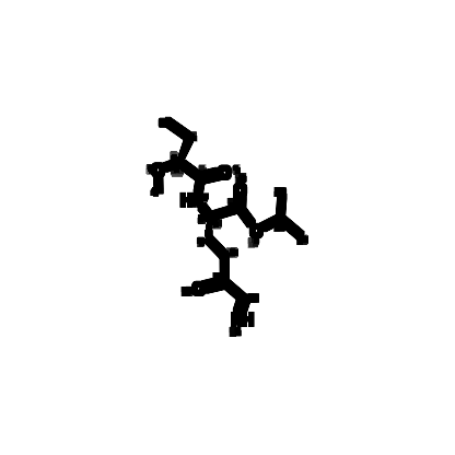 CC[C@H](OC)C(=O)N[C@@H](CCC(=O)C=N)C(=O)OC(C)C